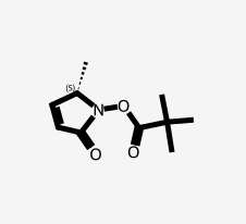 C[C@H]1C=CC(=O)N1OC(=O)C(C)(C)C